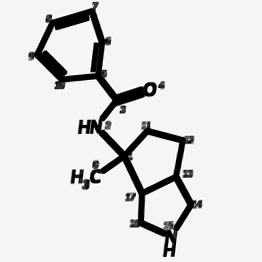 CC1(NC(=O)c2ccccc2)CCC2CNCC21